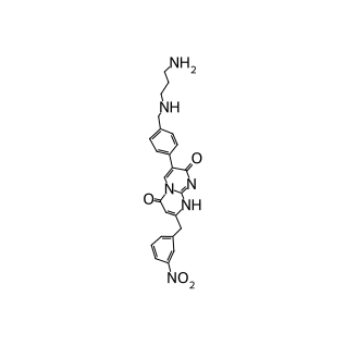 NCCCNCc1ccc(-c2cn3c(=O)cc(Cc4cccc([N+](=O)[O-])c4)[nH]c3nc2=O)cc1